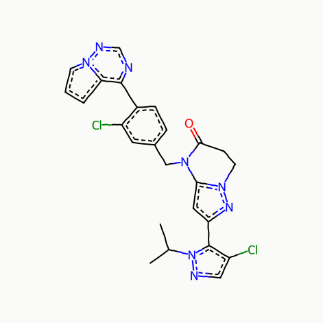 CC(C)n1ncc(Cl)c1-c1cc2n(n1)CCC(=O)N2Cc1ccc(-c2ncnn3cccc23)c(Cl)c1